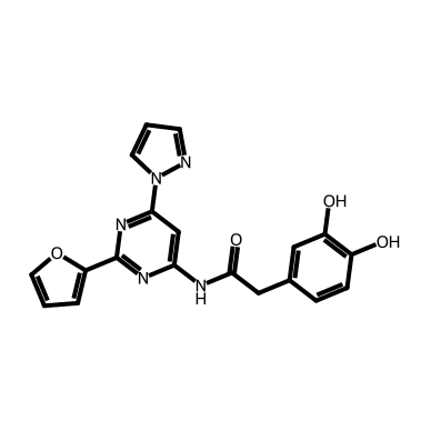 O=C(Cc1ccc(O)c(O)c1)Nc1cc(-n2cccn2)nc(-c2ccco2)n1